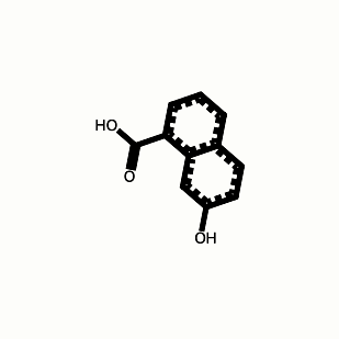 O=C(O)c1cccc2ccc(O)cc12